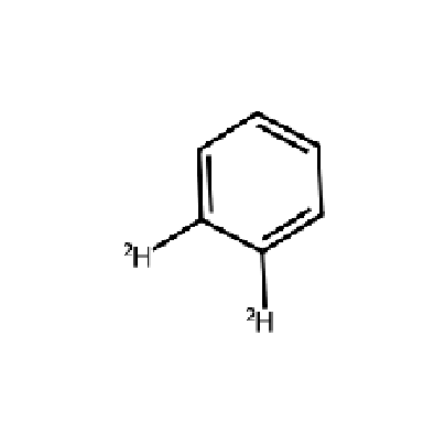 [2H]c1ccccc1[2H]